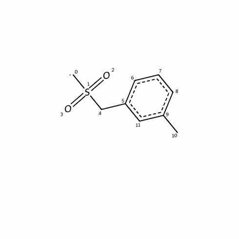 [CH2]S(=O)(=O)Cc1cccc(C)c1